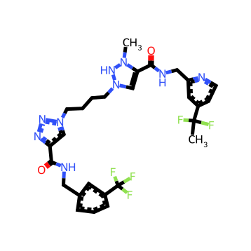 CN1NN(CCCCn2cc(C(=O)NCc3cccc(C(F)(F)F)c3)nn2)C=C1C(=O)NCc1cc(C(C)(F)F)ccn1